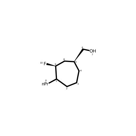 CCCC1CCC[C@H](CO)C[C@@H]1F